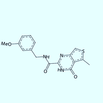 COc1cccc(CNC(=O)c2nc3csc(C)c3c(=O)[nH]2)c1